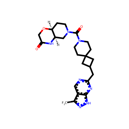 O=C1CO[C@H]2CCN(C(=O)N3CCC4(CC3)CC(Cc3ncc5c(C(F)(F)F)n[nH]c5n3)C4)C[C@H]2N1